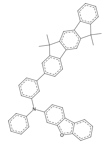 CC1(C)c2ccccc2-c2cc3c(cc21)-c1ccc(-c2cccc(N(c4ccccc4)c4ccc5c(c4)oc4ccccc45)c2)cc1C3(C)C